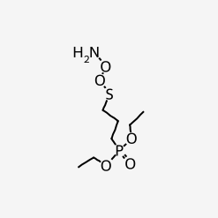 CCOP(=O)(CCCSOON)OCC